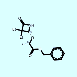 CCC1(CC)C(=O)N[C@@H]1O[C@@H](C)C(=O)OCc1ccccc1